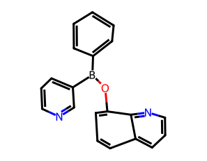 c1ccc(B(Oc2cccc3cccnc23)c2cccnc2)cc1